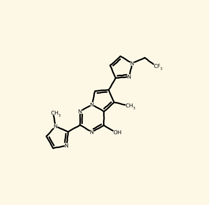 Cc1c(-c2ccn(CC(F)(F)F)n2)cn2nc(-c3nccn3C)nc(O)c12